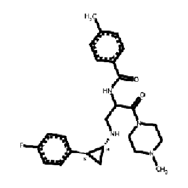 Cc1ccc(C(=O)NC(CN[C@@H]2C[C@H]2c2ccc(F)cc2)C(=O)N2CCN(C)CC2)cc1